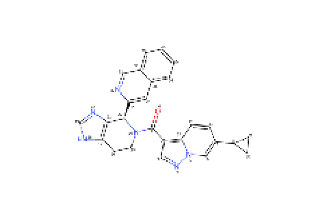 O=C(c1cnn2cc(C3CC3)ccc12)N1CCc2[nH]cnc2[C@H]1c1cc2ccccc2cn1